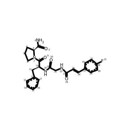 NC(=O)[C@@H]1CCCN1C(=O)[C@H](Cc1ccccc1)NC(=O)CNC(=O)/C=C/c1ccc(F)cc1